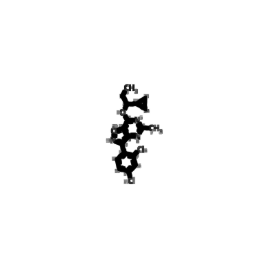 CCC(Oc1nc(C)nc2c(-c3ccc(Cl)cc3Cl)noc12)C1CC1